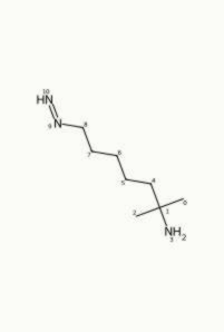 CC(C)(N)CCCCCN=N